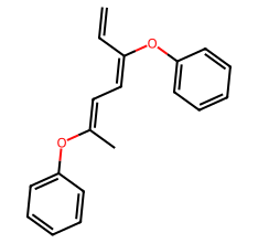 C=C/C(=C\C=C(/C)Oc1ccccc1)Oc1ccccc1